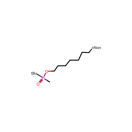 CCCCCCCCCCCCCCCCOP(C)(=O)C(C)(C)C